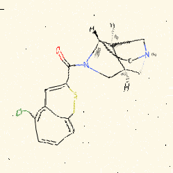 O=C(c1cc2c(Cl)cccc2s1)N1C[C@@H]2C[N@@]3CC[C@@H]2[C@@H]1C3